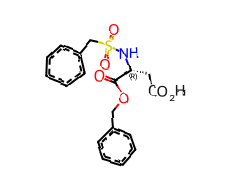 O=C(O)C[C@@H](NS(=O)(=O)Cc1ccccc1)C(=O)OCc1ccccc1